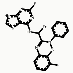 CCC(Nc1nc(F)nc2[nH]cnc12)C1=Nc2cccc(F)c2SN1c1ccccc1